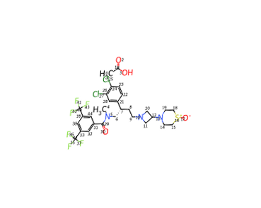 CC(=O)O.CN(C[C@@H](CCN1CC(N2CC[S+]([O-])CC2)C1)c1ccc(Cl)c(Cl)c1)C(=O)c1cc(C(F)(F)F)cc(C(F)(F)F)c1